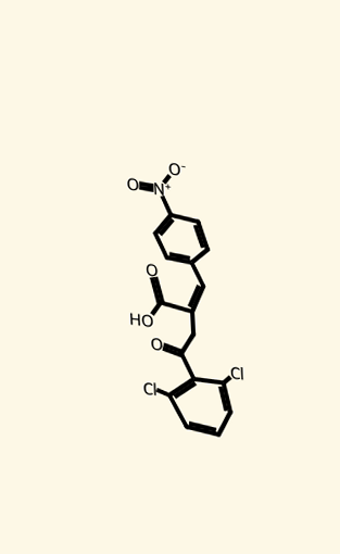 O=C(O)C(=Cc1ccc([N+](=O)[O-])cc1)CC(=O)c1c(Cl)cccc1Cl